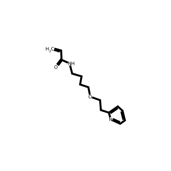 C=CC(=O)NCCCCOCCc1ccccn1